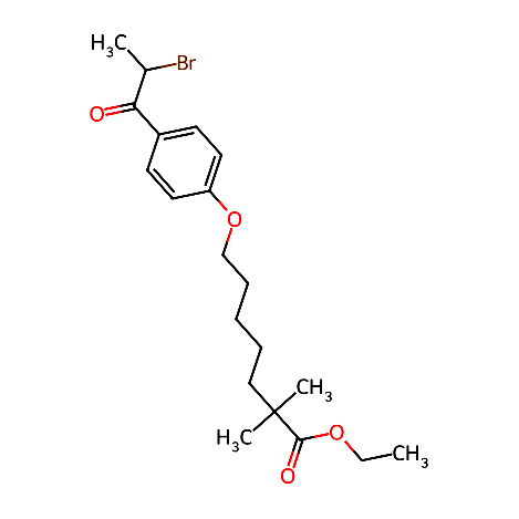 CCOC(=O)C(C)(C)CCCCCOc1ccc(C(=O)C(C)Br)cc1